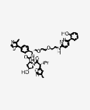 Cc1cc([C@H](C(=O)N2C[C@H](O)C[C@H]2C(=O)N[C@@H](COCCOCCNc2ccc(-c3ccccc3O)nn2)c2ccc(-c3scnc3C)cc2)C(C)C)on1